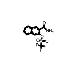 NC(=O)c1cc2ccccc2cc1OS(=O)(=O)C(F)(F)F